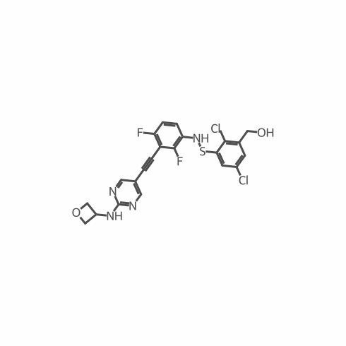 OCc1cc(Cl)cc(SNc2ccc(F)c(C#Cc3cnc(NC4COC4)nc3)c2F)c1Cl